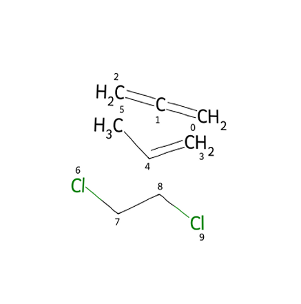 C=C=C.C=CC.ClCCCl